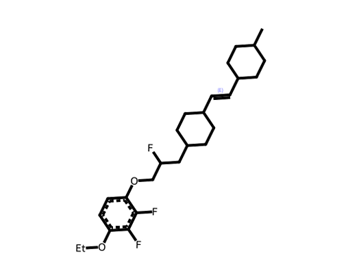 CCOc1ccc(OCC(F)CC2CCC(/C=C/C3CCC(C)CC3)CC2)c(F)c1F